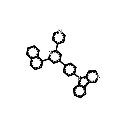 c1ccc2c(-c3cc(-c4ccc(-n5c6ccccc6c6cnccc65)cc4)cc(-c4ccncc4)n3)cccc2c1